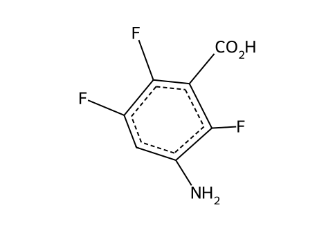 Nc1cc(F)c(F)c(C(=O)O)c1F